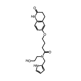 O=C1CCc2cc(OCCCC(=O)N(CCO)Cc3ccc[nH]3)ccc2N1